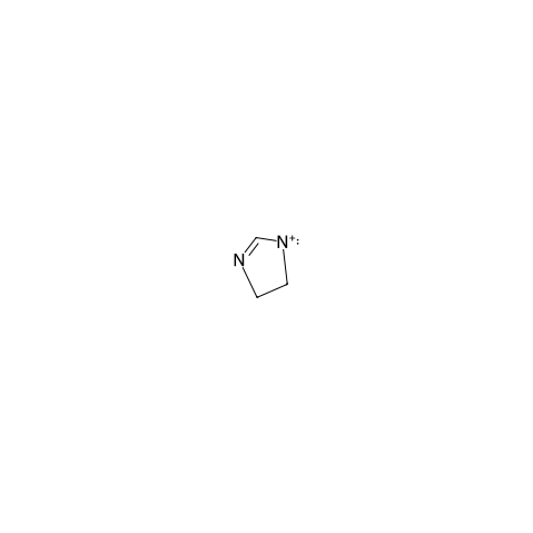 C1=NCC[N+]1